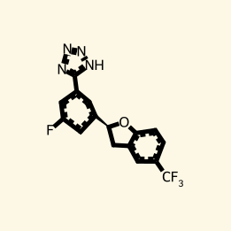 Fc1cc(-c2nnn[nH]2)cc([C@@H]2Cc3cc(C(F)(F)F)ccc3O2)c1